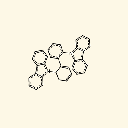 C1=CCC(n2c3ccccc3c3ccccc32)C(c2ccccc2-n2c3ccccc3c3ccccc32)=C1